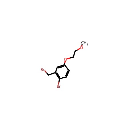 COCCOc1ccc(Br)c(CBr)c1